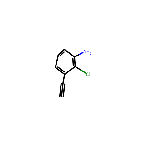 C#Cc1cccc(N)c1Cl